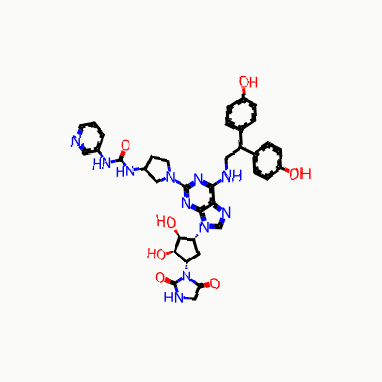 O=C(Nc1cccnc1)NC1CCN(c2nc(NCC(c3ccc(O)cc3)c3ccc(O)cc3)c3ncn([C@@H]4C[C@H](N5C(=O)CNC5=O)[C@@H](O)[C@H]4O)c3n2)C1